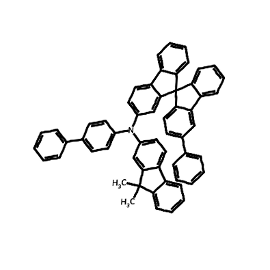 CC1(C)c2ccccc2-c2ccc(N(c3ccc(-c4ccccc4)cc3)c3ccc4c(c3)C3(c5ccccc5-c5cc(-c6ccccc6)ccc53)c3ccccc3-4)cc21